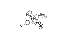 CC(C)(C)[Si](C)(C)OC1=CC(C2(O[Si](C)(C)C(C)(C)C)CC2)N(S(=O)(=O)c2ccc(Cl)cc2)C(c2cccnc2)C1